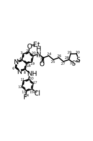 CCOc1cc2ncnc(Nc3ccc(F)c(Cl)c3)c2cc1NC(=O)CCCCC1CCSS1